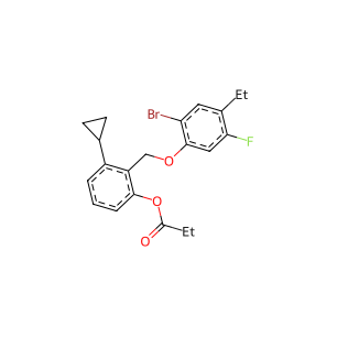 CCC(=O)Oc1cccc(C2CC2)c1COc1cc(F)c(CC)cc1Br